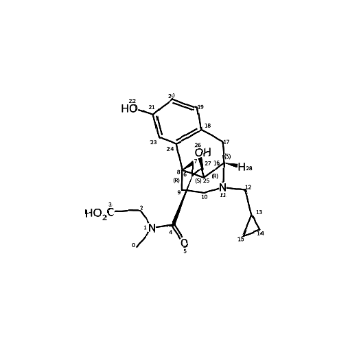 CN(CC(=O)O)C(=O)[C@H]1C[C@@]23CCN(CC4CC4)[C@@H](Cc4ccc(O)cc42)[C@@]3(O)C1